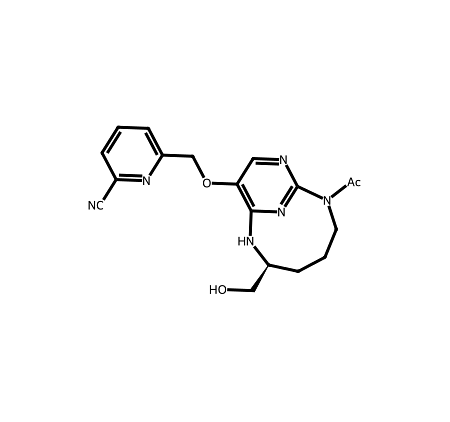 CC(=O)N1CCC[C@@H](CO)Nc2nc1ncc2OCc1cccc(C#N)n1